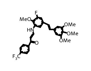 COc1cc(C=Cc2cc(F)c(OC)c(NC=CC(=O)c3ccc(C(F)(F)F)cc3)c2)cc(OC)c1OC